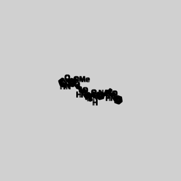 COc1cc2c(cc1OCCCC(=O)Nc1cc(C(=O)Nc3ccc(-c4cc(C)c(C(=O)Nc5ccccc5)s4)nc3)n(C)c1)N=C[C@@H]1CCCN1C2=O